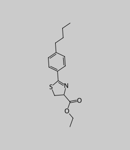 CCCCc1ccc(C2=NC(C(=O)OCC)CS2)cc1